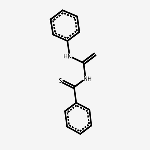 C=C(NC(=S)c1ccccc1)Nc1ccccc1